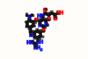 CN(C)c1ccc(C#N)cc1Oc1nc(Oc2cccc(NC(=N)N)c2)nc2c1NC(=O)C(CC(=O)O)O2